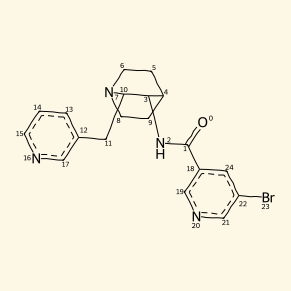 O=C(NC1C2CCN(CC2)C1Cc1cccnc1)c1cncc(Br)c1